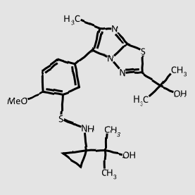 COc1ccc(-c2c(C)nc3sc(C(C)(C)O)nn23)cc1SNC1(C(C)(C)O)CC1